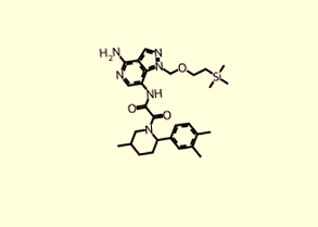 Cc1ccc(C2CCC(C)CN2C(=O)C(=O)Nc2cnc(N)c3cnn(COCC[Si](C)(C)C)c23)cc1C